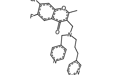 Cc1oc2cc(Br)c(F)cc2c(=O)c1CN(CCCc1cccnc1)Cc1ccncc1